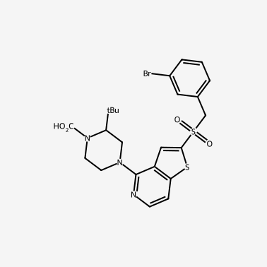 CC(C)(C)C1CN(c2nccc3sc(S(=O)(=O)Cc4cccc(Br)c4)cc23)CCN1C(=O)O